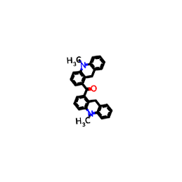 CN1c2ccccc2Cc2c(C(=O)c3cccc4c3Cc3ccccc3N4C)cccc21